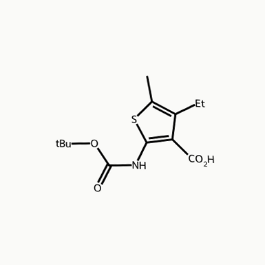 CCc1c(C)sc(NC(=O)OC(C)(C)C)c1C(=O)O